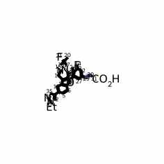 CCn1cc(-c2ccc3oc4c(c3c2)C[C@@H](C)N(CC(C)(C)F)[C@@H]4C2(C)C(F)=CC(/C=C/C(=O)O)=CC2F)cn1